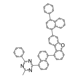 Cc1nc(-c2ccccc2)nc(-c2cccc3c(-c4cccc5oc6cc(-c7ccc(-c8ccccc8)c8ccccc78)ccc6c45)cccc23)n1